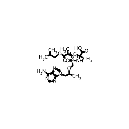 CC(C)COC(=O)C(C)NP(=O)(COC(C)Cn1cnc2c(N)ncnc21)NC(C)(C)C(=O)O